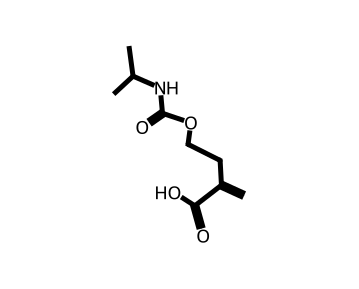 C=C(CCOC(=O)NC(C)C)C(=O)O